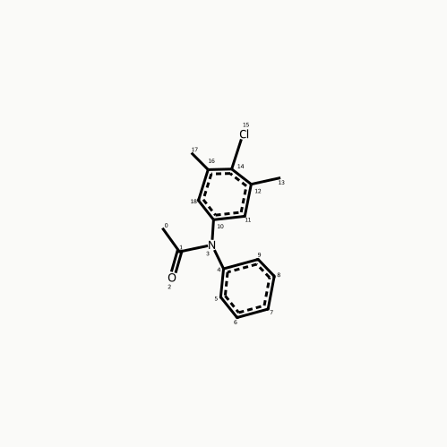 CC(=O)N(c1ccccc1)c1cc(C)c(Cl)c(C)c1